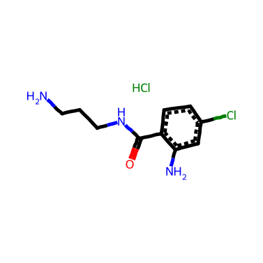 Cl.NCCCNC(=O)c1ccc(Cl)cc1N